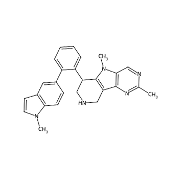 Cc1ncc2c(n1)c1c(n2C)C(c2ccccc2-c2ccc3c(ccn3C)c2)CNC1